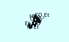 CCOC(=O)Nn1c(=O)c2cc(-c3ccnn3CC)c(CC)cc2n(S(C)(=O)=O)c1=O